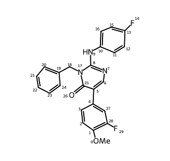 COc1ccc(-c2cnc(Nc3ccc(F)cc3)n(Cc3ccccc3)c2=O)cc1F